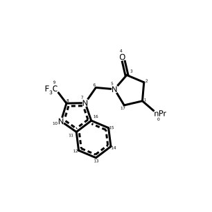 CCCC1CC(=O)N(Cn2c(C(F)(F)F)nc3ccccc32)C1